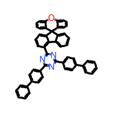 c1ccc(-c2ccc(-c3nc(-c4ccc(-c5ccccc5)cc4)nc(-c4cccc5c4-c4ccccc4C54c5ccccc5Oc5ccccc54)n3)cc2)cc1